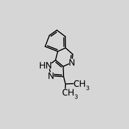 CC(C)c1n[nH]c2c1ncc1ccccc12